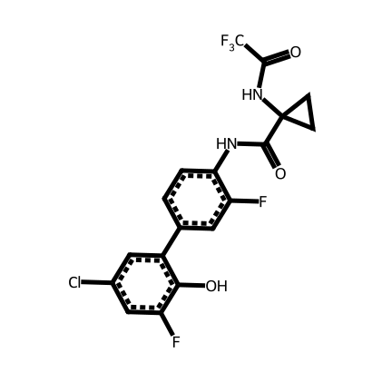 O=C(NC1(C(=O)Nc2ccc(-c3cc(Cl)cc(F)c3O)cc2F)CC1)C(F)(F)F